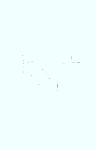 CC1CC2CC3=CC(C)(C)C=C3C=C2C1[Si](C)(C)NC(C)(C)C